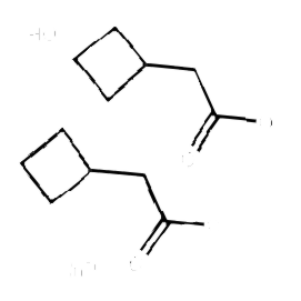 O=C([O-])CC1CCC1.O=C([O-])CC1CCC1.[In+3].[OH-]